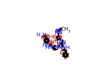 CCn1nnc([C@H]2O[C@@H](n3cnc4c(N[C@H](CO)Cc5ccccc5)nc(N5CC[C@@H](NC(=O)Nc6ccc(S(N)(=O)=O)cc6)C5)nc43)[C@H](O)[C@@H]2O)n1